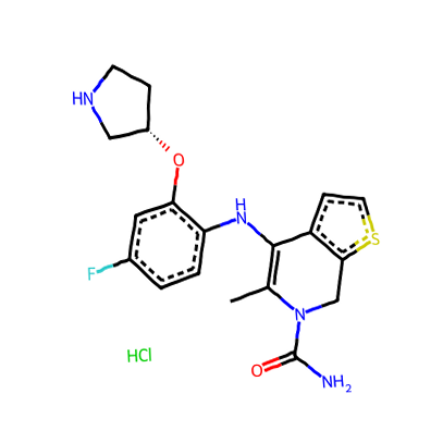 CC1=C(Nc2ccc(F)cc2O[C@H]2CCNC2)c2ccsc2CN1C(N)=O.Cl